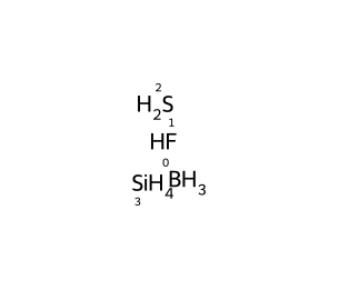 B.F.S.[SiH4]